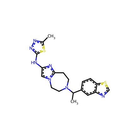 Cc1nnc(Nc2cn3c(n2)CCN(C(C)c2ccc4scnc4c2)CC3)s1